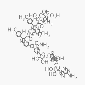 Cc1ccc(-c2nc3ccc(C)cn3c2CC(=O)N(C)C)cc1.Cc1ccc(-c2nc3ccc(C)cn3c2CC(=O)N(C)C)cc1.NC(=O)C1=CN([C@@H]2O[C@H](COP(=O)(O)OP(=O)(O)OC[C@H]3O[C@@H](n4cnc5c(N)ncnc54)[C@H](O)[C@@H]3O)[C@@H](O)[C@H]2O)C=CC1.O=C(O)C(O)C(O)C(=O)O